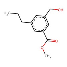 CCCc1cc(CO)cc(C(=O)OC)c1